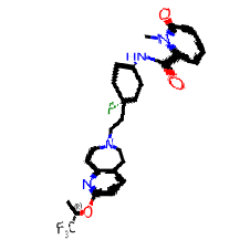 C[C@@H](Oc1ccc2c(n1)CCN(CC[C@]1(F)CC[C@@H](NC(=O)c3cccc(=O)n3C)CC1)CC2)C(F)(F)F